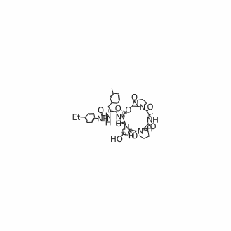 CCc1ccc(NC(=O)N[C@@H](Cc2cccc(C)c2)C(=O)N[C@@H]2C(=O)N3C[C@H](O)C[C@H]3C(=O)N3CCCC[C@H]3C(=O)N[C@@H](C)C(=O)N3CCCC34C(=O)C4O[C@H]2C)cc1